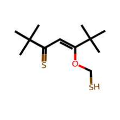 CC(C)(C)C(=S)/C=C(\OCS)C(C)(C)C